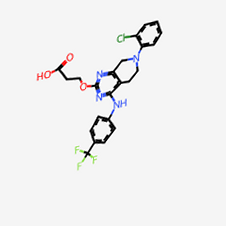 O=C(O)CCOc1nc2c(c(Nc3ccc(C(F)(F)F)cc3)n1)CCN(c1ccccc1Cl)C2